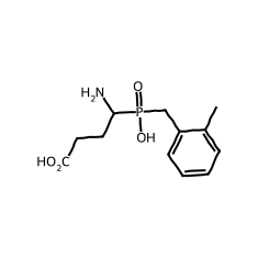 Cc1ccccc1CP(=O)(O)C(N)CCC(=O)O